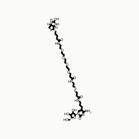 Nc1nc(=O)n([C@@H]2O[C@H](CO)C(O)C2O)cc1CCCNC(=O)CCSSCCNC(=O)CCOCCOCCOCCOCCNC(=O)CCCC[C@@H]1SC[C@@H]2NC(O)N[C@@H]21